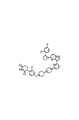 O=C1CCC(c2ccc(CN3CCC(N4CCN(c5cccc(-c6cnn7ccc(N8CCC[C@@H]8c8ccc(F)cc8F)nc67)n5)CC4)CC3)cc2F)C(=O)N1